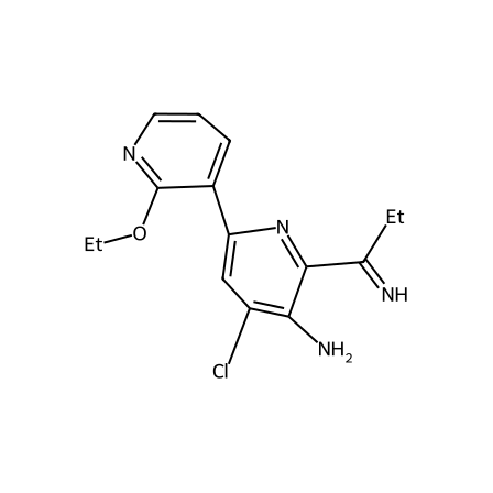 CCOc1ncccc1-c1cc(Cl)c(N)c(C(=N)CC)n1